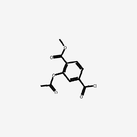 COC(=O)c1ccc(C(=O)Cl)cc1OC(C)=O